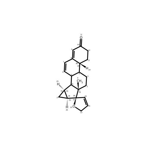 C[C@]12CCC3C(C=CC4=CC(=O)CC[C@@H]43)C1[C@@H]1C[C@@H]1[C@@]21C=CCO1